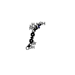 C/C(=C(/N)CO)N(N)CC(O)COc1ccc(C(C)(C)c2ccc(OCC(O)CCl)c(Br)c2)cc1